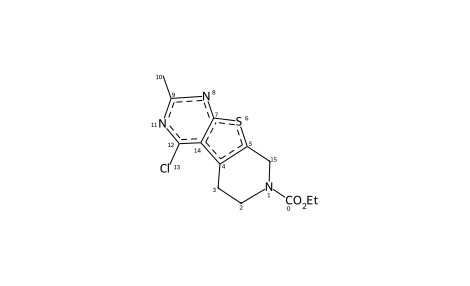 CCOC(=O)N1CCc2c(sc3nc(C)nc(Cl)c23)C1